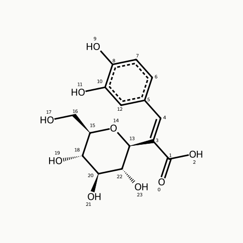 O=C(O)/C(=C/c1ccc(O)c(O)c1)[C@@H]1O[C@H](CO)[C@@H](O)[C@H](O)[C@H]1O